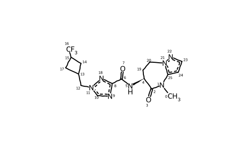 CN1C(=O)[C@@H](NC(=O)c2ncn(CC3CC(C(F)(F)F)C3)n2)CCn2nccc21